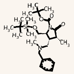 C[C@H]1C(=O)N(C(=O)OC(C)(C)C)[C@H](CO[Si](C)(C)C(C)(C)C)[C@H]1CN(C)Cc1ccccc1